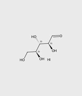 I.O=C[C@@H](O)[C@@H](O)[C@@H](O)CO